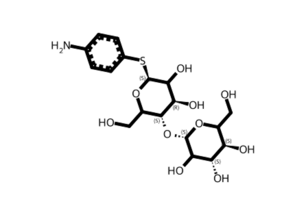 Nc1ccc(S[C@@H]2OC(CO)[C@@H](O[C@@H]3OC(CO)[C@@H](O)[C@H](O)C3O)[C@H](O)C2O)cc1